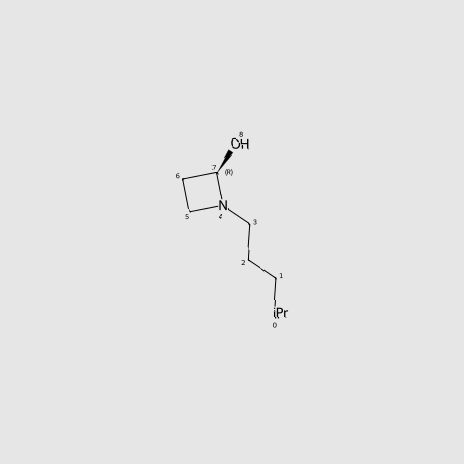 CC(C)CCCN1CC[C@H]1O